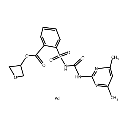 Cc1cc(C)nc(NC(=O)NS(=O)(=O)c2ccccc2C(=O)OC2COC2)n1.[Pd]